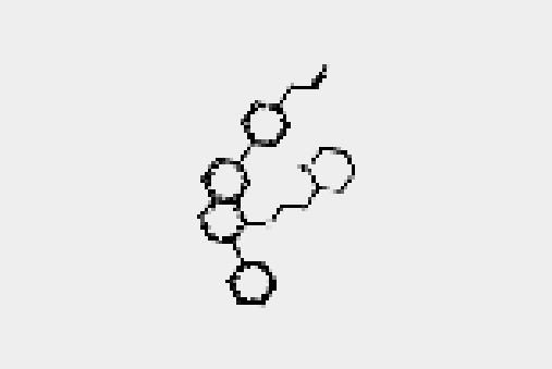 O=CCc1ccc(-c2ccc3ncc(-c4ccccc4)c(OCCC4CCCCN4)c3c2)cc1